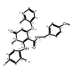 COc1ccc(CNC(=O)c2c(Oc3cccnc3C)cc(=O)n(C)c2Nc2ccc(I)cc2F)cc1